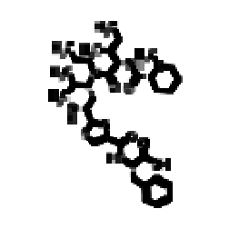 CCCN(C(=O)[C@@H](NC(=O)[C@H]1CCCCN1C)C(C)CC)[C@H](C[C@@H](O)c1nc(C(=O)N[C@@H](Cc2ccccc2)C(=O)O)cs1)C(C)C